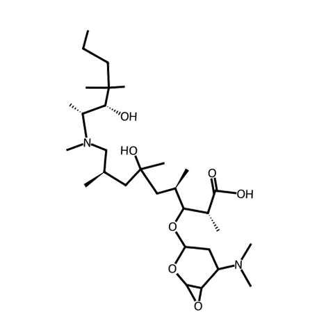 CCCC(C)(C)[C@H](O)[C@@H](C)N(C)C[C@H](C)CC(C)(O)C[C@@H](C)C(OC1CC(N(C)C)C2OC2O1)[C@@H](C)C(=O)O